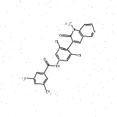 Cn1c(=O)c(-c2c(Cl)cc(NC(=O)c3cc(C(F)(F)F)cc(C(F)(F)F)c3)cc2Cl)cc2cnccc21